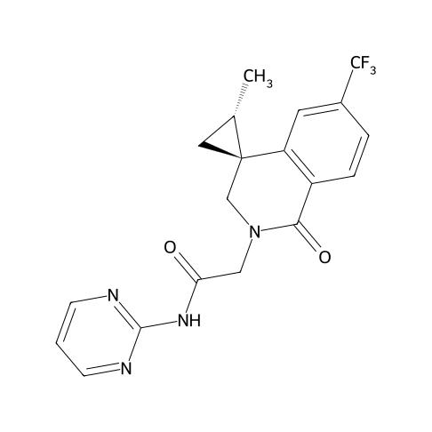 C[C@H]1C[C@@]12CN(CC(=O)Nc1ncccn1)C(=O)c1ccc(C(F)(F)F)cc12